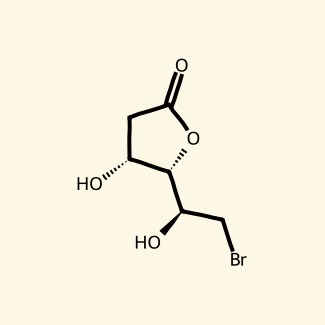 O=C1C[C@@H](O)[C@@H]([C@H](O)CBr)O1